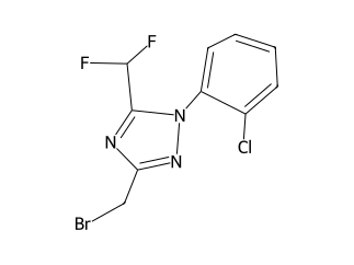 FC(F)c1nc(CBr)nn1-c1ccccc1Cl